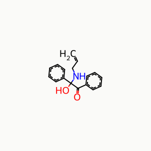 C=CCNC(O)(C(=O)c1ccccc1)c1ccccc1